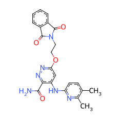 Cc1ccc(Nc2cc(OCCN3C(=O)c4ccccc4C3=O)nnc2C(N)=O)nc1C